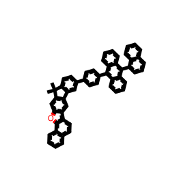 CC1(C)c2ccc(-c3ccc(-c4c5ccccc5c(-c5cccc6ccccc56)c5ccccc45)cc3)cc2-c2cc3c(cc21)oc1c2ccccc2ccc31